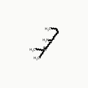 CCCCC/C=C\C/C=C\CCCCCCCCN(CCN)CCCCCCCC(=O)OC(CCCCCCCC)CCCCCCCC